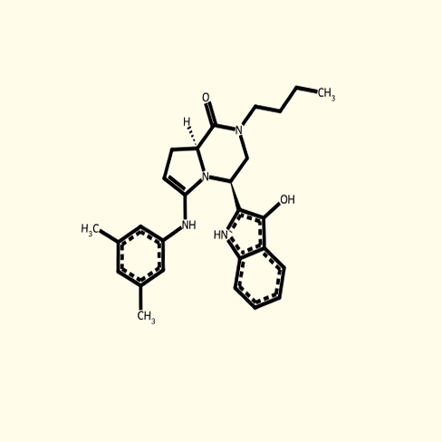 CCCCN1C[C@@H](c2[nH]c3ccccc3c2O)N2C(Nc3cc(C)cc(C)c3)=CC[C@H]2C1=O